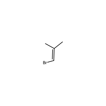 CC(C)=CBr